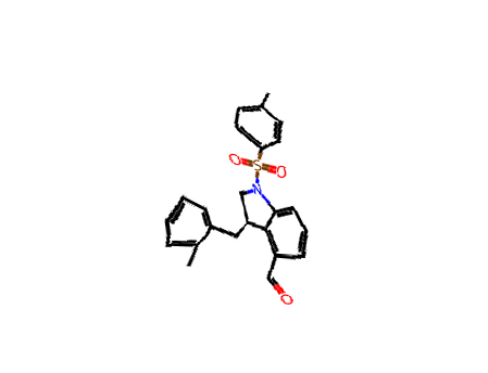 Cc1ccc(S(=O)(=O)N2C[C@H](Cc3ccccc3C)c3c(C=O)cccc32)cc1